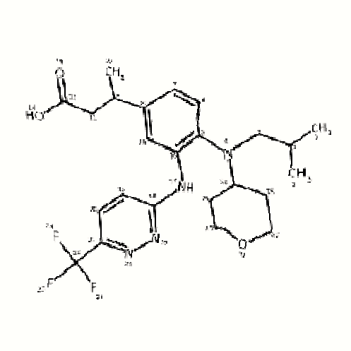 CC(C)CN(c1ccc(C(C)CC(=O)O)cc1Nc1ccc(C(F)(F)F)nn1)C1CCOCC1